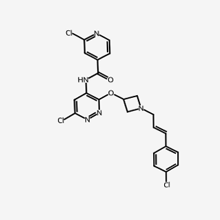 O=C(Nc1cc(Cl)nnc1OC1CN(C/C=C/c2ccc(Cl)cc2)C1)c1ccnc(Cl)c1